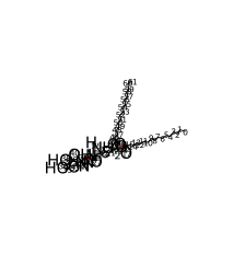 CCCCCCCCCCCCCCCCC(=O)OC[C@H](CSC[C@@H](N)C(=O)Nc1cn([C@H]2OC(CO)[C@@H](O)[C@@H]2O)nn1)OC(=O)CCCCCCCCCCCCCCCC